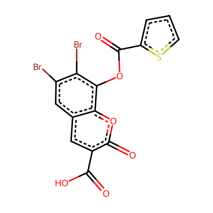 O=C(Oc1c(Br)c(Br)cc2cc(C(=O)O)c(=O)oc12)c1cccs1